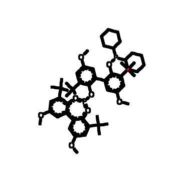 COc1cc(-c2cc(OC)cc(C(C)(C)C)c2Op2oc3c(C(C)(C)C)cc(OC)cc3c3cc(OC)cc(C(C)(C)C)c3o2)c(OP(C2CCCCC2)C2CCCCC2)c(C(C)(C)C)c1